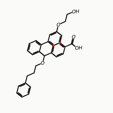 O=C(O)c1ccc(C(OCCCc2ccccc2)c2ccccc2-c2cccc(OCCO)c2)cc1